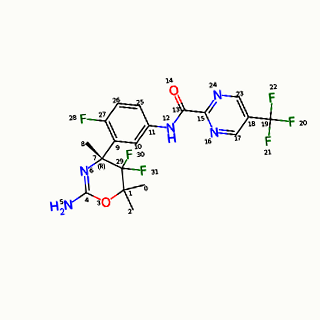 CC1(C)OC(N)=N[C@](C)(c2cc(NC(=O)c3ncc(C(F)(F)F)cn3)ccc2F)C1(F)F